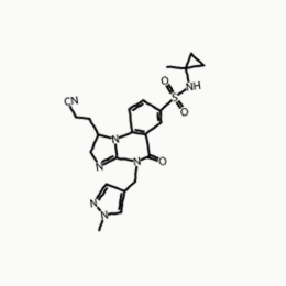 Cn1cc(CN2C(=O)c3cc(S(=O)(=O)NC4(C)CC4)ccc3N3C2=NCC3CCC#N)cn1